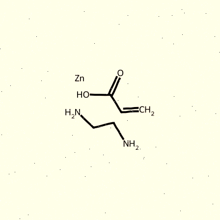 C=CC(=O)O.NCCN.[Zn]